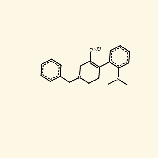 CCOC(=O)C1=C(c2ccccc2N(C)C)CCN(Cc2ccccc2)C1